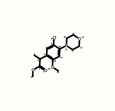 COC(=O)C(C)c1cc(Cl)c(N2CCOCC2)cc1OC